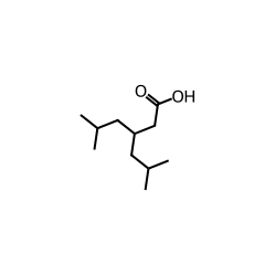 CC(C)CC(CC(=O)O)CC(C)C